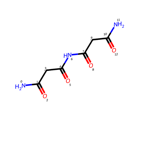 NC(=O)[CH]C(=O)NC(=O)[CH]C(N)=O